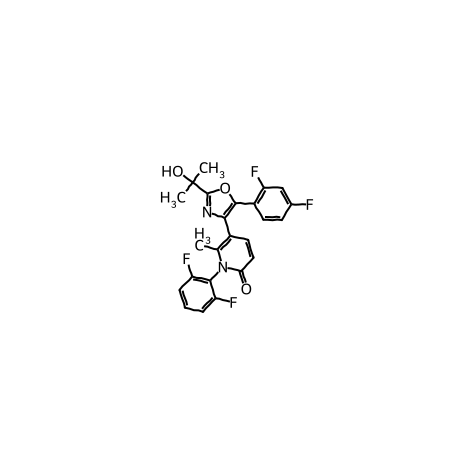 Cc1c(-c2nc(C(C)(C)O)oc2-c2ccc(F)cc2F)ccc(=O)n1-c1c(F)cccc1F